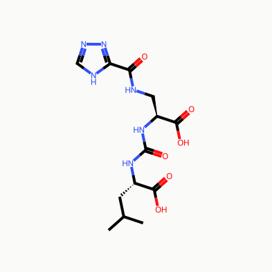 CC(C)C[C@H](NC(=O)N[C@@H](CNC(=O)c1nnc[nH]1)C(=O)O)C(=O)O